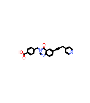 O=C(O)c1ccc(Cn2cnc3ccc(C#CCc4ccncc4)cc3c2=O)cc1